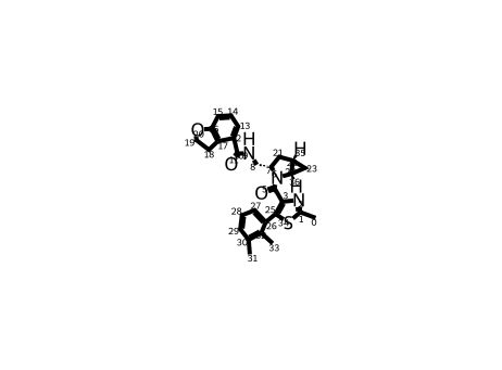 Cc1nc(C(=O)N2[C@H](CNC(=O)c3cccc4c3CCO4)C[C@@H]3C[C@@H]32)c(-c2cccc(C)c2C)s1